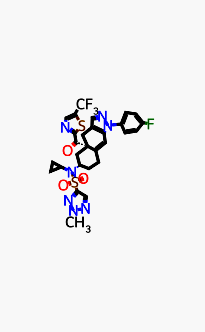 Cn1ncc(S(=O)(=O)N(C2CC2)[C@H]2CCC3=Cc4c(cnn4-c4ccc(F)cc4)C[C@]3(C(=O)c3ncc(C(F)(F)F)s3)C2)n1